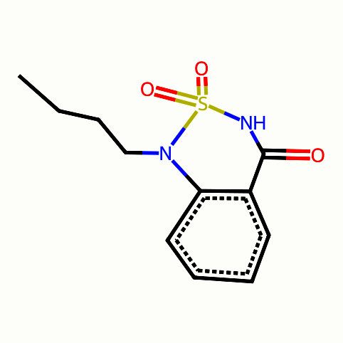 CCCCN1c2ccccc2C(=O)NS1(=O)=O